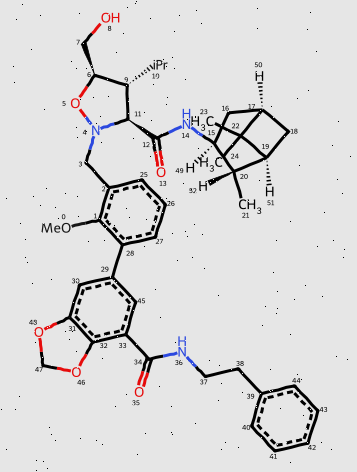 COc1c(CN2O[C@@H](CO)[C@H](C(C)C)[C@H]2C(=O)N[C@H]2C[C@H]3C[C@@H]([C@@H]2C)C3(C)C)cccc1-c1cc2c(c(C(=O)NCCc3ccccc3)c1)OCO2